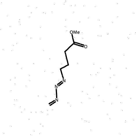 C=NN=NCCCC(=O)OC